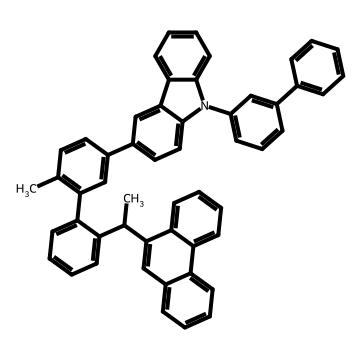 Cc1ccc(-c2ccc3c(c2)c2ccccc2n3-c2cccc(-c3ccccc3)c2)cc1-c1ccccc1C(C)c1cc2ccccc2c2ccccc12